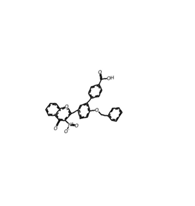 O=C(O)c1ccc(-c2cc(-c3oc4ccccc4c(=O)c3[N+](=O)[O-])ccc2OCc2ccccc2)cc1